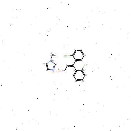 BCC=C(c1ccccc1F)c1ccccc1F.CCCCCCCCCCn1ccnc1